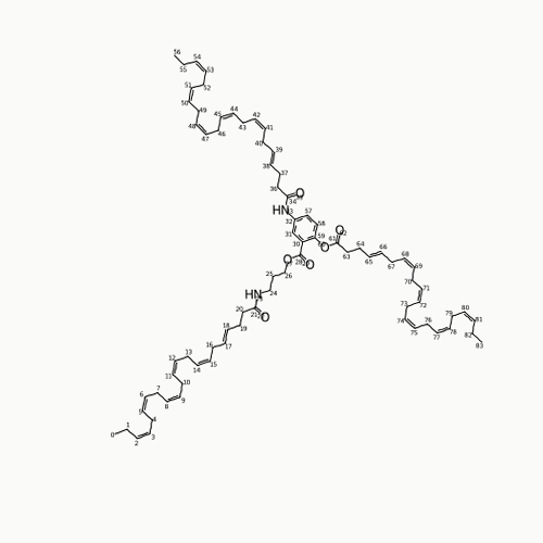 CC/C=C\C/C=C\C/C=C\C/C=C\C/C=C\C/C=C/CCC(=O)NCCCOC(=O)c1cc(NC(=O)CC/C=C/C/C=C\C/C=C\C/C=C\C/C=C\C/C=C\CC)ccc1OC(=O)CC/C=C/C/C=C\C/C=C\C/C=C\C/C=C\C/C=C\CC